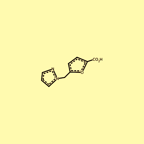 O=C(O)c1ccc(Cn2cccn2)o1